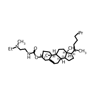 CCN(C)CCNC(=O)OC1CC[C@@]2(C)C(=CC[C@H]3[C@@H]4CC[C@H]([C@H](C)CCCC(C)C)[C@@]4(C)CC[C@@H]32)C1